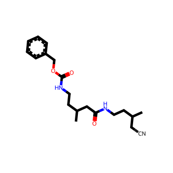 CC(CC#N)CCNC(=O)CC(C)CCNC(=O)OCc1ccccc1